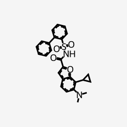 CN(C)c1ccc2cc(C(=O)NS(=O)(=O)c3ccccc3-c3ccccc3)oc2c1C1CC1